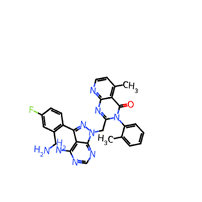 Cc1ccccc1-n1c(Cn2nc(-c3ccc(F)cc3CN)c3c(N)ncnc32)nc2nccc(C)c2c1=O